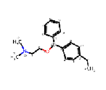 CCc1ccc(B(OCCN(C)C)c2ccccc2)cc1